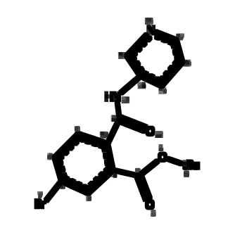 CC(C)(C)OC(=O)c1cc(Br)ccc1C(=O)Nc1cccnc1